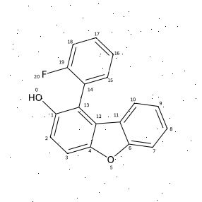 Oc1ccc2oc3ccccc3c2c1-c1ccccc1F